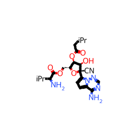 CC(C)CC(=O)O[C@H]1[C@@H](O)[C@](C#N)(c2ccc3c(N)ncnn23)O[C@@H]1COC(=O)C(N)C(C)C